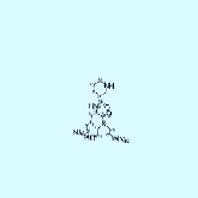 CNCCC[C@H](NC(=O)C1CCCNC1)C(=O)N(CCO)CCNC